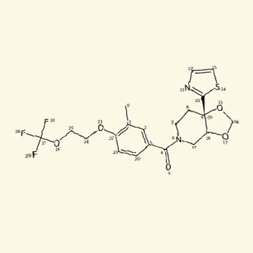 Cc1cc(C(=O)N2CC[C@]3(c4nccs4)OCOC3C2)ccc1OCCOC(F)(F)F